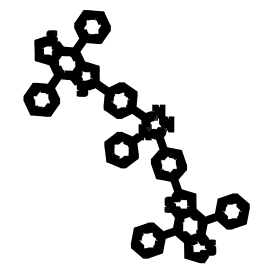 c1ccc(-c2c3cc(-c4ccc(-c5nnc(-c6ccc(-c7cc8c(-c9ccccc9)c9sccc9c(-c9ccccc9)c8s7)cc6)n5-c5ccccc5)cc4)sc3c(-c3ccccc3)c3ccsc23)cc1